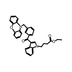 CCOC(=O)CCCn1cc(C(=O)c2cccc(CN3c4ccccc4Oc4ccccc43)c2)c2ccccc21